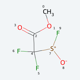 COC(=O)C(F)(F)[S+]([O-])F